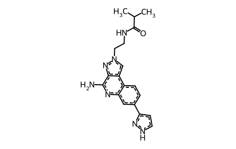 CC(C)C(=O)NCCn1cc2c(n1)c(N)nc1cc(-c3cc[nH]n3)ccc12